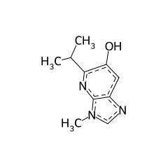 CC(C)c1nc2c(cc1O)ncn2C